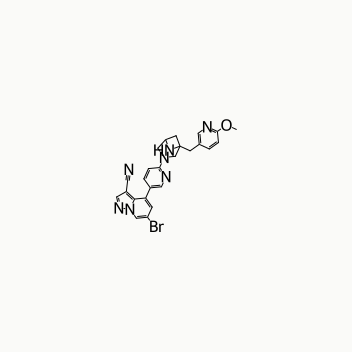 COc1ccc(CC23CC(CN(c4ccc(-c5cc(Br)cn6ncc(C#N)c56)cn4)C2)N3)cn1